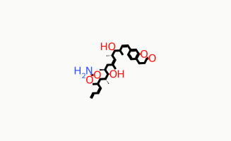 C=C/C=C\C(C)[C@H](OC(N)=O)[C@@H](C)[C@H](O)[C@@H](C)C/C(C)=C\[C@H](C)[C@@H](O)C(C)/C=C\c1ccc2c(c1)OC(=O)CC2